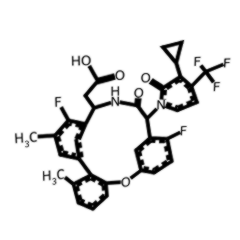 Cc1cc2cc(c1F)C(CC(=O)O)NC(=O)C(n1ccc(C(F)(F)F)c(C3CC3)c1=O)c1cc(ccc1F)Oc1cccc(C)c1-2